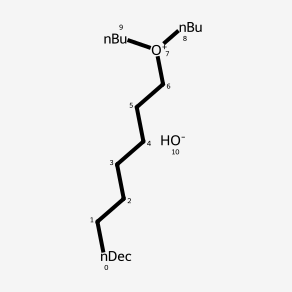 CCCCCCCCCCCCCCCC[O+](CCCC)CCCC.[OH-]